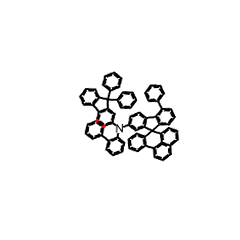 c1ccc(-c2ccccc2N(c2ccc3c(c2)C(c2ccccc2)(c2ccccc2)c2ccccc2-3)c2ccc3c(c2)C2(c4ccccc4-c4cccc5cccc2c45)c2cccc(-c4ccccc4)c2-3)cc1